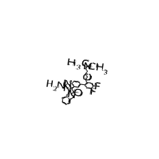 CN(C)CCCOCc1cc(F)c(F)cc1-c1ccc2nc(N)nc(C(=O)N3Cc4ccccc4C3)c2c1